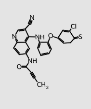 CC#CC(=O)Nc1ccc2ncc(C#N)c(Nc3ccccc3OC3=CCC(=S)C(Cl)=C3)c2c1